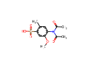 COc1cc(S(=O)(=O)O)c(C)cc1N(C(C)=O)C(C)=O